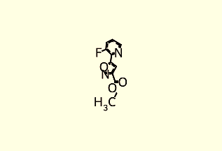 CCOC(=O)c1cc(-c2ncccc2F)on1